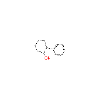 OC1CCCCC1c1[c]cccc1